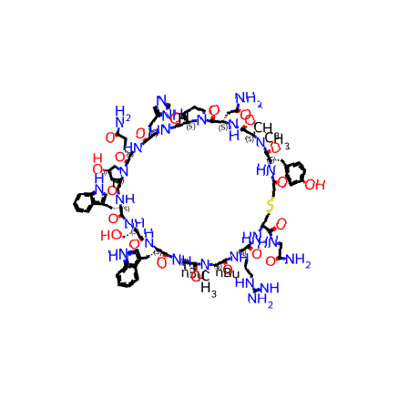 CCCC[C@H]1NC(=O)[C@H](Cc2c[nH]c3ccccc23)NC(=O)[C@H](CO)NC(=O)[C@H](Cc2c[nH]c3ccccc23)NC(=O)[C@@H]2C[C@@H](O)CN2C(=O)[C@H](CCC(N)=O)NC(=O)[C@H](Cc2cnc[nH]2)NC(=O)[C@@H]2CCCN2C(=O)[C@H](CC(N)=O)NC(=O)[C@H](C)N(C)C(=O)[C@H](Cc2ccc(O)cc2)NC(=O)CSCC(C(=O)NCC(N)=O)NC(=O)[C@H](CCCNC(=N)N)NC(=O)[C@H](CCCC)N(C)C1=O